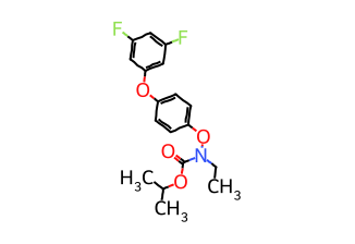 CCN(Oc1ccc(Oc2cc(F)cc(F)c2)cc1)C(=O)OC(C)C